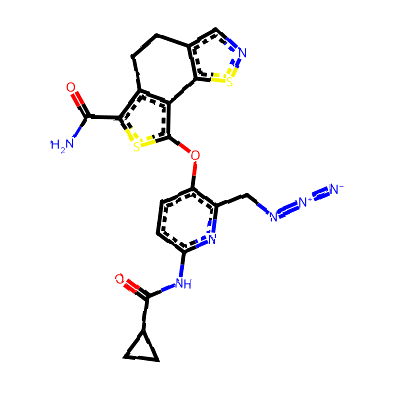 [N-]=[N+]=NCc1nc(NC(=O)C2CC2)ccc1Oc1sc(C(N)=O)c2c1-c1sncc1CC2